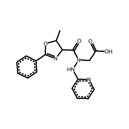 CC1OC(c2ccccc2)=NC1C(=O)N(CC(=O)O)Nc1ccccn1